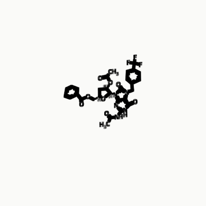 CC(=O)Nc1nc2c(c(=O)[nH]1)n(Cc1ccc(C(F)(F)F)cc1)c(=O)n2[C@@H]1O[C@H](COC(=O)c2ccccc2)C[C@H]1OC(C)=O